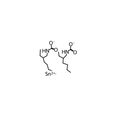 CCCCC(CC)CNC(=O)[O-].CCCCC(CC)CNC(=O)[O-].[Sn+2]